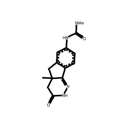 CNC(=O)Nc1ccc2c(c1)CC1(C)CC(=O)NN=C21